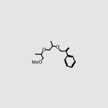 C=C(COC(C)COC(C)COC)c1ccccc1